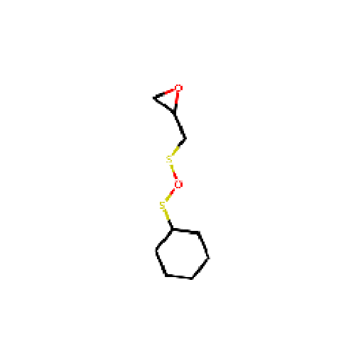 C1CCC(SOSCC2CO2)CC1